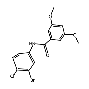 COc1cc(OC)cc(C(=O)Nc2ccc(Cl)c(Br)c2)c1